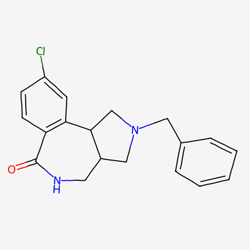 O=C1NCC2CN(Cc3ccccc3)CC2c2cc(Cl)ccc21